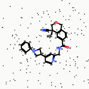 C[C@@]1(C#N)COCc2ccc(C(=O)NCc3cc(C4CN(c5ccccc5)C4)ccn3)cc21